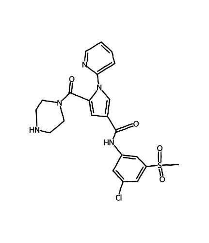 CS(=O)(=O)c1cc(Cl)cc(NC(=O)c2cc(C(=O)N3CCNCC3)n(-c3ccccn3)c2)c1